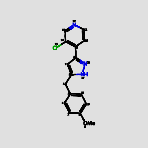 COc1ccc(Cc2cc(-c3ccncc3Cl)n[nH]2)cc1